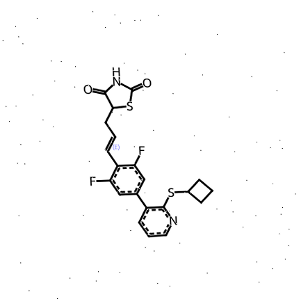 O=C1NC(=O)C(C/C=C/c2c(F)cc(-c3cccnc3SC3CCC3)cc2F)S1